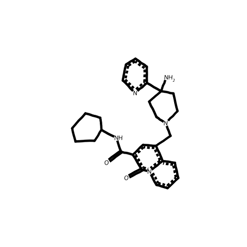 NC1(c2ccccn2)CCN(Cc2cc(C(=O)NC3CCCCC3)c(=O)n3ccccc23)CC1